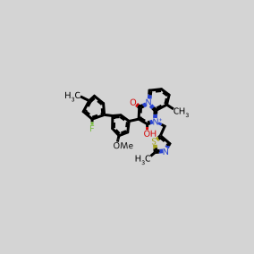 COc1cc(-c2ccc(C)cc2F)cc(-c2c(O)[n+](Cc3cnc(C)s3)c3c(C)cccn3c2=O)c1